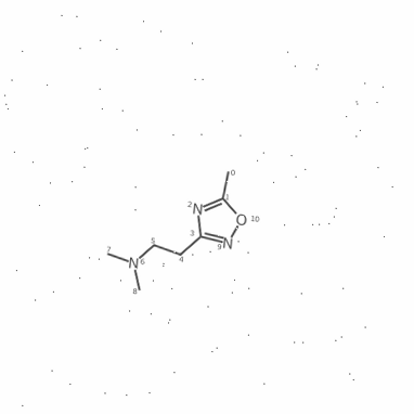 Cc1nc(CCN(C)C)no1